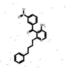 Nc1ccnc(CCCCc2ccccc2)c1C(=O)c1cccc([N+](=O)[O-])c1